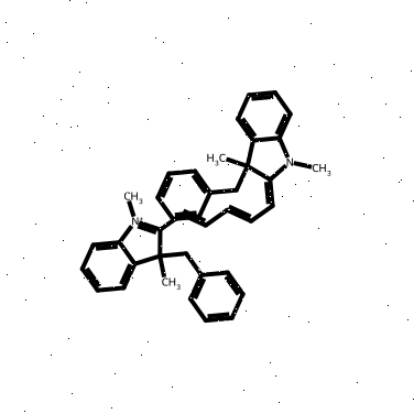 CN1/C(=C/C=C/C=C/C2=[N+](C)c3ccccc3C2(C)Cc2ccccc2)C(C)(Cc2ccccc2)c2ccccc21